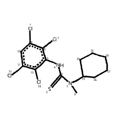 CN(C(=S)Nc1c(Cl)c(Cl)cc(Cl)c1Cl)C1CCCCC1